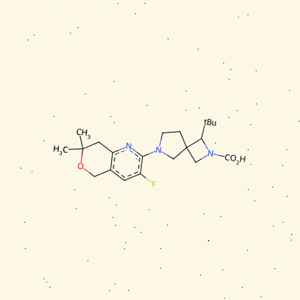 CC1(C)Cc2nc(N3CCC4(C3)CN(C(=O)O)C4C(C)(C)C)c(F)cc2CO1